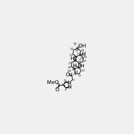 COC(=O)c1cnn(CC(=O)[C@H]2CC[C@H]3[C@@H]4CC[C@H]5C[C@](C)(O)CC[C@]5(C)[C@H]4CC[C@]23C)c1